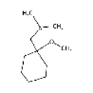 COC1(CN(C)C)CCCCC1